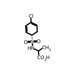 CC(NS(=O)(=O)[C@@H]1C=CC(Cl)=CC1)C(=O)O